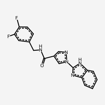 O=C(NCc1ccc(F)c(F)c1)c1cnn(-c2nc3ccccc3[nH]2)c1